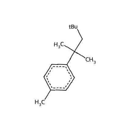 Cc1ccc(C(C)(C)CC(C)(C)C)cc1